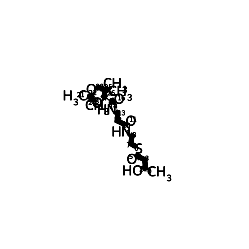 C[C@@H](O)CC(=O)SCCNC(=O)CCNC(=O)[C@@H]1OC(C)(C)OCC1(C)C